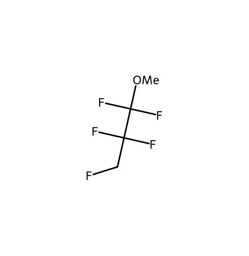 COC(F)(F)C(F)(F)CF